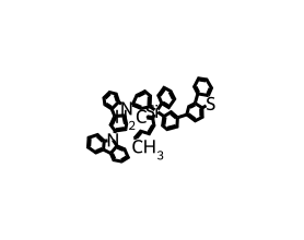 C=C(/C=C\C=C/C)[Si](c1ccccc1)(c1cccc(-c2ccc3sc4ccccc4c3c2)c1)c1cccc(-n2c3ccccc3c3cc(-n4c5ccccc5c5ccccc54)ccc32)c1